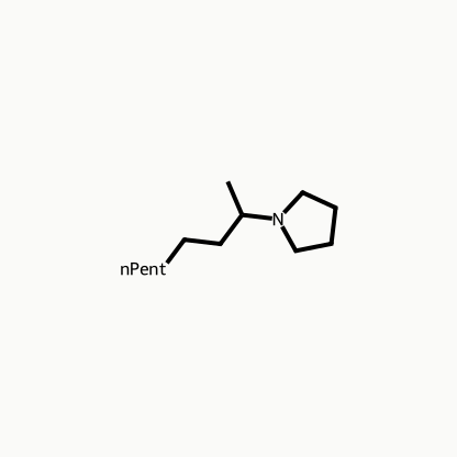 CCCCCCCC(C)N1CCCC1